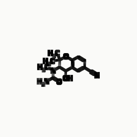 CN(C(N)=O)C1C(O)c2cc(C#N)ccc2OC1(C)C